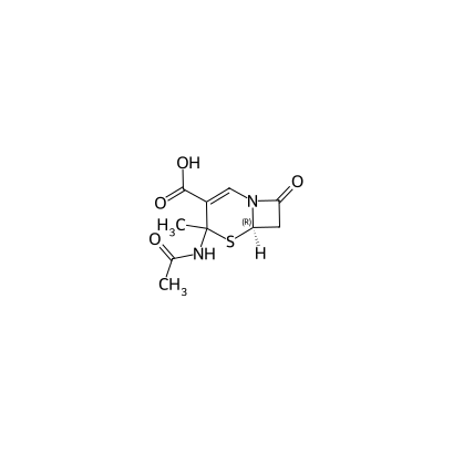 CC(=O)NC1(C)S[C@@H]2CC(=O)N2C=C1C(=O)O